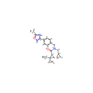 CC1(C)CC1C(=O)N(Cc1ccc(-c2noc(C(F)(F)F)n2)cc1)CC1CC1